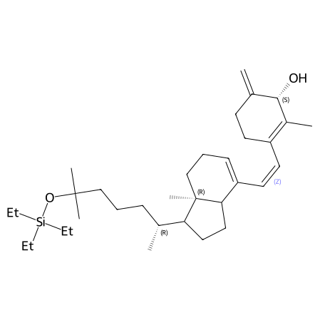 C=C1CCC(/C=C\C2=CCC[C@@]3(C)C2CCC3[C@H](C)CCCC(C)(C)O[Si](CC)(CC)CC)=C(C)[C@H]1O